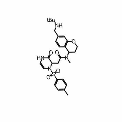 Cc1ccc(S(=O)(=O)N2C=CNC(=O)C2CC(=O)N(C)C2CCOc3cc(CNC(C)(C)C)ccc32)cc1